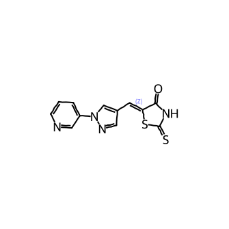 O=C1NC(=S)S/C1=C\c1cnn(-c2cccnc2)c1